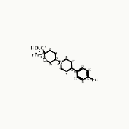 CCC[C@]1(C(=O)O)CC[C@@H](N2CCC(c3ccc(F)cc3)CC2)CO1